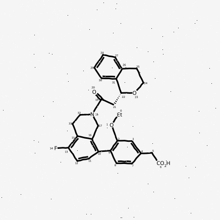 CCOc1cc(CC(=O)O)ccc1-c1ccc(F)c2c1CN(C(=O)C[C@H]1OCCc3ccccc31)CC2